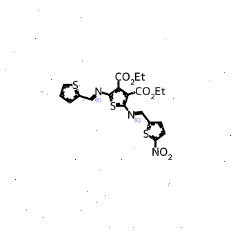 CCOC(=O)c1c(/N=C/c2cccs2)sc(/N=C/c2ccc([N+](=O)[O-])s2)c1C(=O)OCC